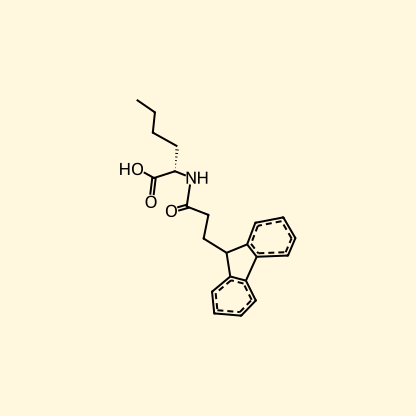 CCCC[C@H](NC(=O)CCC1c2ccccc2-c2ccccc21)C(=O)O